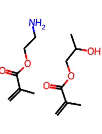 C=C(C)C(=O)OCC(C)O.C=C(C)C(=O)OCCN